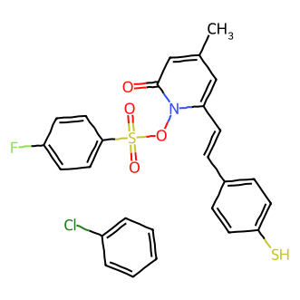 Cc1cc(C=Cc2ccc(S)cc2)n(OS(=O)(=O)c2ccc(F)cc2)c(=O)c1.Clc1ccccc1